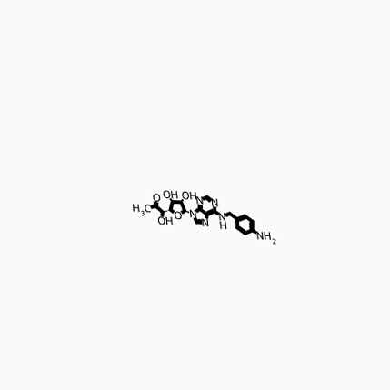 CC(=O)C(O)[C@H]1O[C@@H](n2cnc3c(NCc4ccc(N)cc4)ncnc32)[C@H](O)[C@@H]1O